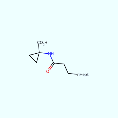 CCCCCCCCCC(=O)NC1(C(=O)O)CC1